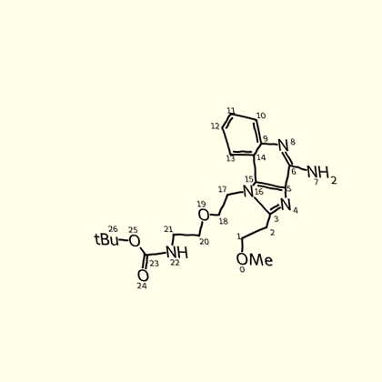 COCCc1nc2c(N)nc3ccccc3c2n1CCOCCNC(=O)OC(C)(C)C